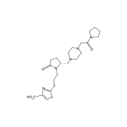 O=C(O)c1csc(SCCN2C(=O)CC[C@@H]2CN2CCN(CC(=O)N3CCCC3)CC2)n1